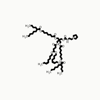 CC/C=C\CCCCOC(CCC(=O)OCC(COC(=O)CCCCCCOC(=O)C(CCCC)CCCCCC)(COC(=O)CCCCCCOC(=O)C(CCCC)CCCCCC)COC(=O)NCCN1CCCC1)OCCCC/C=C\CC